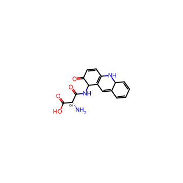 N[C@H](C(=O)O)C(=O)NC1C(=O)C=CC2=C1C=C1C=CC=CC1N2